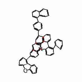 c1ccc(-c2ccccc2-c2c(-c3ccccc3)cccc2N(c2ccc(-c3ccc(-c4cccc5ccccc45)cc3)cc2)c2ccc(-c3cccc4oc5ccccc5c34)cc2)cc1